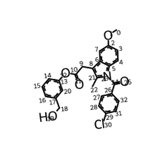 COc1ccc2c(c1)c(CC(=O)Oc1cccc(CO)c1)c(C)n2C(=O)c1ccc(Cl)cc1